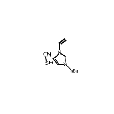 C=CN1C=CN(CCCC)C1.N#CS